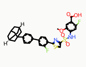 COc1cc(C(=O)O)c(F)cc1NS(=O)(=O)c1csc(-c2ccc(-c3ccc(C45CC6C[C@H](C4)C[C@H](C6)C5)cc3)cc2F)n1